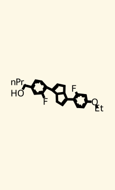 CCCC(O)c1ccc(C2=CCC3C(c4ccc(OCC)cc4F)=CCC23)c(F)c1